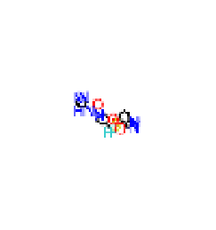 Cn1ncc2c(S(=O)(=O)C(F)(F)C3CCN(C(=O)Nc4ccnnc4)CC3)cccc21